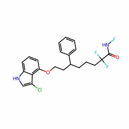 O=C(NF)C(F)(F)CCCC(CCOc1cccc2[nH]cc(Cl)c12)c1ccccc1